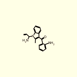 C=CC(N)n1c(C)c(C(=O)c2ccccc2N)c2ccccc21